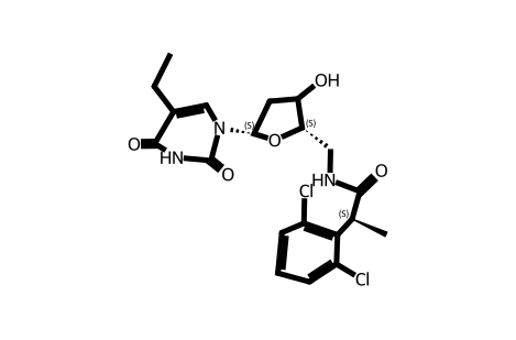 CCc1cn([C@@H]2CC(O)[C@H](CNC(=O)[C@@H](C)c3c(Cl)cccc3Cl)O2)c(=O)[nH]c1=O